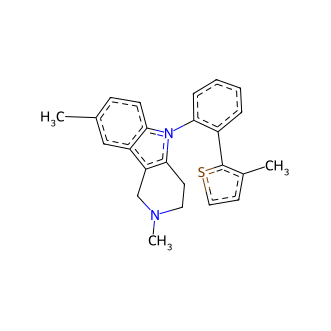 Cc1ccc2c(c1)c1c(n2-c2ccccc2-c2sccc2C)CCN(C)C1